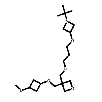 COC1CC(OCC2(COCCCOC3CN(C(C)(C)C)C3)COC2)C1